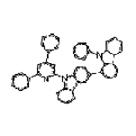 C1=CC2c3cccc(-c4ccc5c(c4)c4ccccc4n5-c4cc(-c5ccccc5)cc(-c5ccccc5)n4)c3N(c3ccccc3)C2C=C1